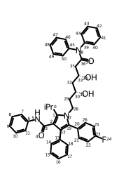 CC(C)c1c(C(=O)Nc2ccccc2)c(-c2ccccc2)c(-c2ccc(F)cc2)n1CC[C@@H](O)C[C@@H](O)CC(=O)N(c1ccccc1)c1ccccc1